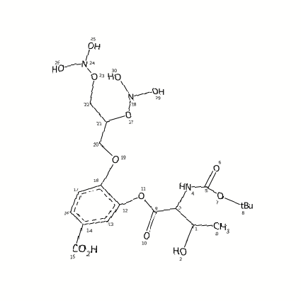 CC(O)C(NC(=O)OC(C)(C)C)C(=O)Oc1cc(C(=O)O)ccc1OCC(CON(O)O)ON(O)O